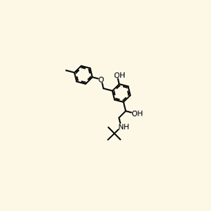 Cc1ccc(OCc2cc(C(O)CNC(C)(C)C)ccc2O)cc1